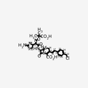 CC(C)(O/N=C(\C(=O)N[C@@H]1C(=O)N2C(C(=O)O)=C(/C=C/c3ccc(CCl)cc3)CS[C@@H]12)C1CSC(N)=N1)C(=O)O